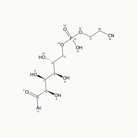 CC(=O)C(=O)[C@H](O)[C@@H](O)[C@H](O)[C@H](O)COP(=O)(O)OCCC#N